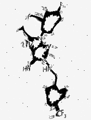 Cc1nc2c(=N)n(NCc3ccc(C(F)(F)F)cc3)cnc2n1-c1ccc(F)cc1F